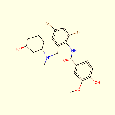 COc1cc(C(=O)Nc2c(Br)cc(Br)cc2CN(C)[C@H]2CCC[C@H](O)C2)ccc1O